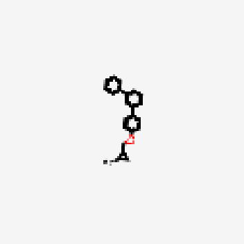 CC(=O)C1CC1COc1ccc(-c2cccc(-c3ccccc3)c2)cc1